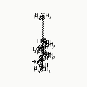 CC(C)(C)OC(=O)CCCCCCCCCCCCCCCCCCC(=O)N[C@@H](CCC(=O)N[C@@H](CCC(=O)N[C@@H](CCC(=O)N[C@@H](CCCCNC(=O)OC(C)(C)C)C(=O)NCC(=O)O)C(=O)OC(C)(C)C)C(=O)OC(C)(C)C)C(=O)OC(C)(C)C